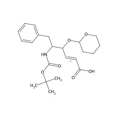 CC(C)(C)OC(=O)NC(Cc1ccccc1)C(/C=C/C(=O)O)OC1CCCCO1